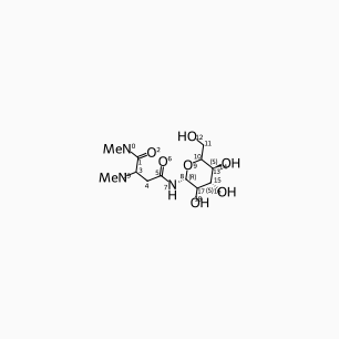 CNC(=O)C(CC(=O)N[C@@H]1OC(CO)[C@@H](O)[C@H](O)C1O)NC